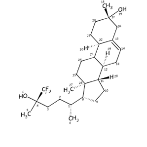 C[C@H](CC[C@](C)(O)C(F)(F)F)[C@H]1CC[C@H]2[C@@H]3CC=C4C[C@@](C)(O)CC[C@@H]4C3CC[C@]12C